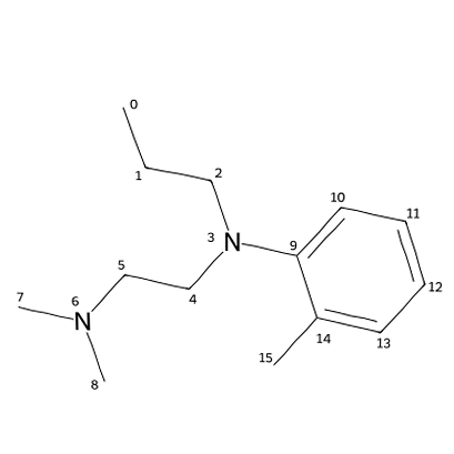 CCCN(CCN(C)C)c1ccccc1C